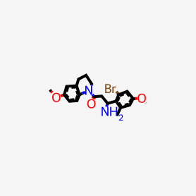 COc1cc(C)c(C(N)CC(=O)N2CCCc3cc(OC)ccc32)c(Br)c1